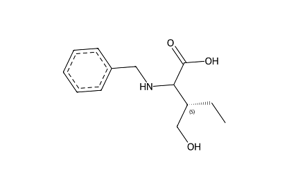 CC[C@H](CO)C(NCc1ccccc1)C(=O)O